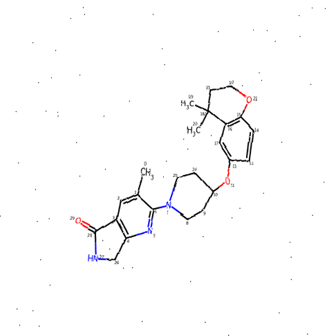 Cc1cc2c(nc1N1CCC(Oc3ccc4c(c3)C(C)(C)CCO4)CC1)CNC2=O